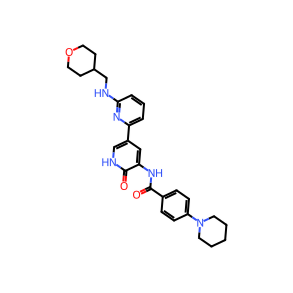 O=C(Nc1cc(-c2cccc(NCC3CCOCC3)n2)c[nH]c1=O)c1ccc(N2CCCCC2)cc1